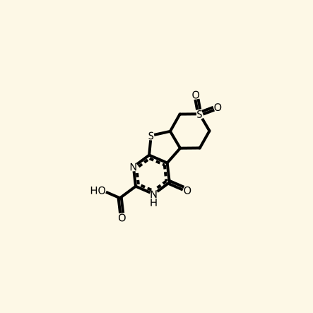 O=C(O)c1nc2c(c(=O)[nH]1)C1CCS(=O)(=O)CC1S2